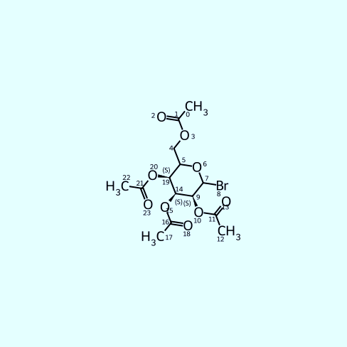 CC(=O)OCC1OC(Br)[C@@H](OC(C)=O)[C@@H](OC(C)=O)[C@H]1OC(C)=O